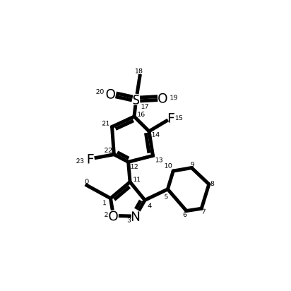 Cc1onc(C2CCCCC2)c1-c1cc(F)c(S(C)(=O)=O)cc1F